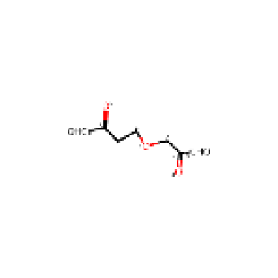 O=CC(=O)CCOCC(=O)C=O